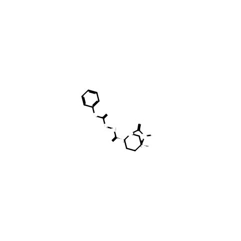 O=C(NNC(=O)[C@@H]1CC[C@@H]2CN1C(=O)N2O)Nc1ccccc1